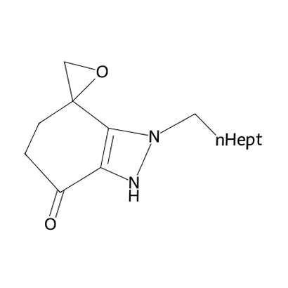 CCCCCCCCn1[nH]c2c1C1(CCC2=O)CO1